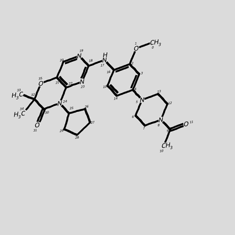 COc1cc(N2CCN(C(C)=O)CC2)ccc1Nc1ncc2c(n1)N(C1CCCC1)C(=O)C(C)(C)O2